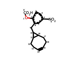 O=C(O)Oc1ccc([N+](=O)[O-])cc1CC1C2CCC#CCCC21